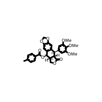 COc1cc([C@@H]2c3cc4c(cc3[C@H](OC(=O)c3ccc(C)cc3)[C@H]3COC(=O)[C@@H]23)OCO4)cc(OC)c1OC